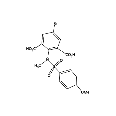 COc1ccc(S(=O)(=O)N(C)c2c(C(=O)O)cc(Br)cc2C(=O)O)cc1